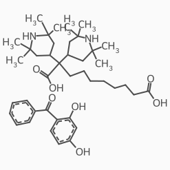 CC1(C)CC(C(CCCCCCCC(=O)O)(C(=O)O)C2CC(C)(C)NC(C)(C)C2)CC(C)(C)N1.O=C(c1ccccc1)c1ccc(O)cc1O